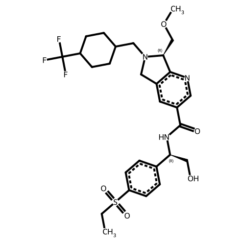 CCS(=O)(=O)c1ccc([C@H](CO)NC(=O)c2cnc3c(c2)CN(CC2CCC(C(F)(F)F)CC2)[C@H]3COC)cc1